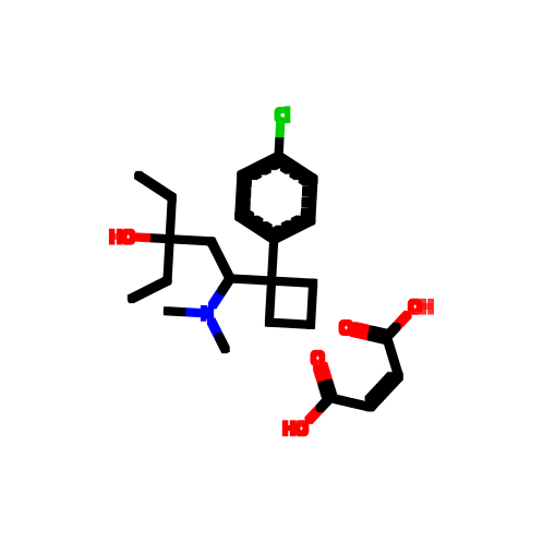 CCC(O)(CC)CC(N(C)C)C1(c2ccc(Cl)cc2)CCC1.O=C(O)/C=C\C(=O)O